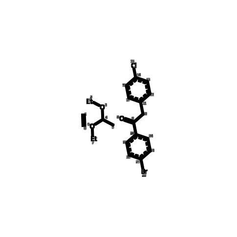 C=C.CCOC(C)OCC.O=C(Cc1ccc(Cl)cc1)c1ccc(Br)cc1